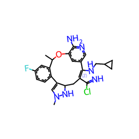 CC1Oc2cc(cnc2N)/C(NCC2CC2)=C(/C(=N)Cl)CC2NN(C)C=C2c2ccc(F)cc21